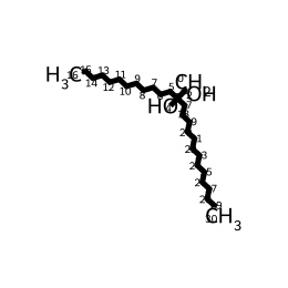 C=C(O)C(O)(CCCCCCCCCCCC)CCCCCCCCCCCCCC